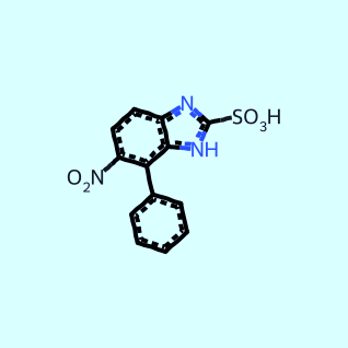 O=[N+]([O-])c1ccc2nc(S(=O)(=O)O)[nH]c2c1-c1ccccc1